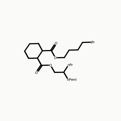 CCCCCC(CCC)COC(=O)C1CCCCC1C(=O)OCCCCC(C)C